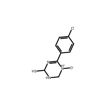 [O-][NH+]1CNC(S)N=C1c1ccc(Cl)cc1